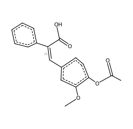 COc1cc(/C=C(\C(=O)O)c2ccccc2)ccc1OC(C)=O